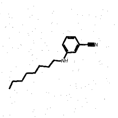 CCCCCCCCNc1cccc(C#N)c1